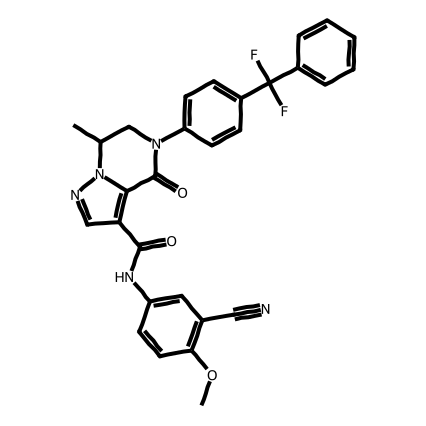 COc1ccc(NC(=O)c2cnn3c2C(=O)N(c2ccc(C(F)(F)c4ccccc4)cc2)CC3C)cc1C#N